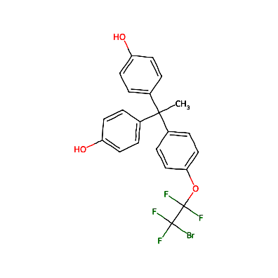 CC(c1ccc(O)cc1)(c1ccc(O)cc1)c1ccc(OC(F)(F)C(F)(F)Br)cc1